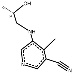 Cc1c(C#N)cncc1NC[C@H](C)O